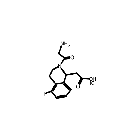 Cl.NCC(=O)N1CCc2c(I)cccc2C1CC(=O)O